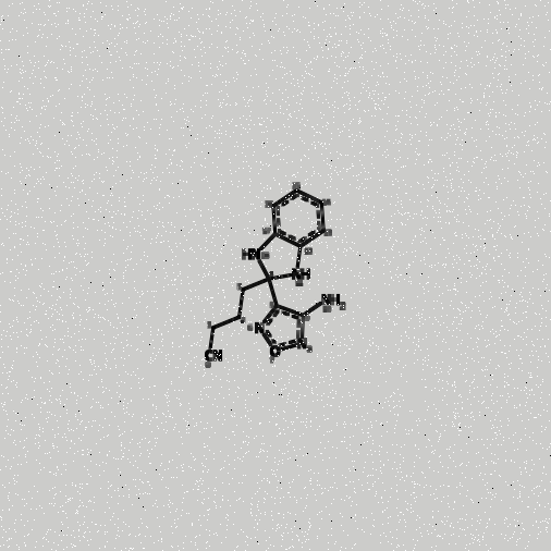 N#CCCCC1(c2nonc2N)Nc2ccccc2N1